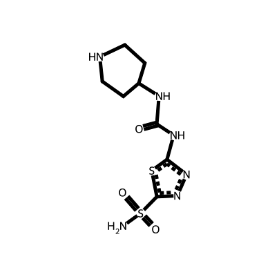 NS(=O)(=O)c1nnc(NC(=O)NC2CCNCC2)s1